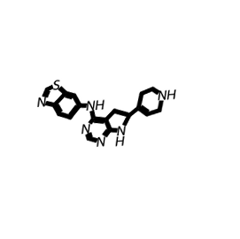 C1=C(C2Cc3c(Nc4ccc5ncsc5c4)ncnc3N2)CCNC1